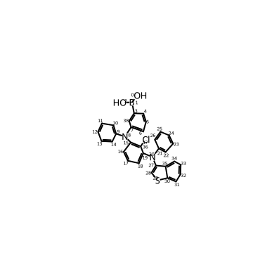 OB(O)c1cccc(N(c2ccccc2)c2cccc(N(c3ccccc3)c3csc4ccccc34)c2Cl)c1